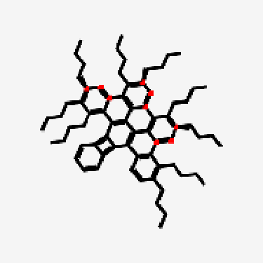 CCCCc1ccc(-c2c(-c3ccc(CCCC)c(CCCC)c3CCCC)c(-c3ccc(CCCC)c(CCCC)c3CCCC)c3c(c2-c2ccc(CCCC)c(CCCC)c2CCCC)=c2ccccc2=3)c(CCCC)c1CCCC